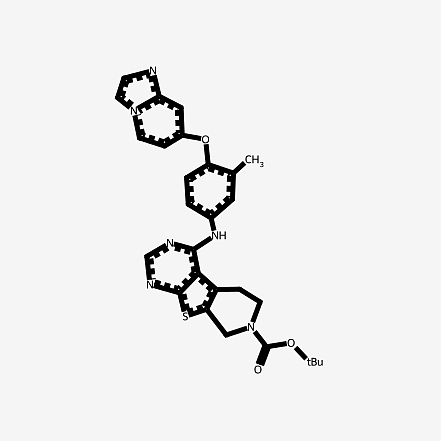 Cc1cc(Nc2ncnc3sc4c(c23)CCN(C(=O)OC(C)(C)C)C4)ccc1Oc1ccn2ccnc2c1